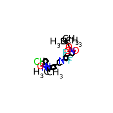 CC1(C)c2ccc(C3CCN(c4cc(F)c(C5CCC(=O)N(COCC[Si](C)(C)C)C5=O)c(F)c4)CC3)cc2-n2c1nc(=O)c1c(Cl)cccc12